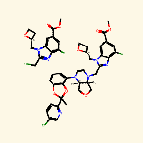 COC(=O)c1cc(F)c2nc(CCl)n(C[C@@H]3CCO3)c2c1.COC(=O)c1cc(F)c2nc(CN3CCN(c4cccc5c4OC(C)(c4ccc(Cl)cn4)O5)[C@H]4COC[C@H]43)n(C[C@@H]3CCO3)c2c1